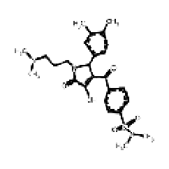 Cc1ccc(C2C(C(=O)c3ccc(S(=O)(=O)N(C)C)cc3)=C(O)C(=O)N2CCCN(C)C)cc1C